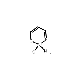 N[N+]1([O-])OC=CC=P1